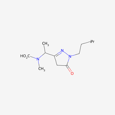 CC(C)CCN1N=C(C(C)N(C)C(=O)O)CC1=O